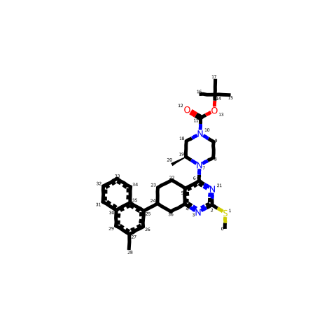 CSc1nc2c(c(N3CCN(C(=O)OC(C)(C)C)C[C@@H]3C)n1)CCC(c1cc(C)cc3ccccc13)C2